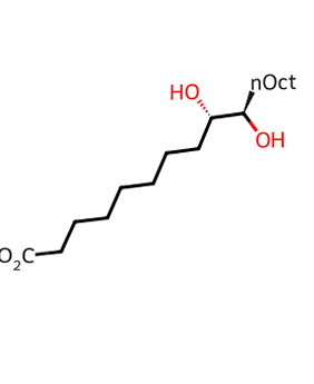 CCCCCCCC[C@@H](O)[C@@H](O)CCCCCCCC(=O)O